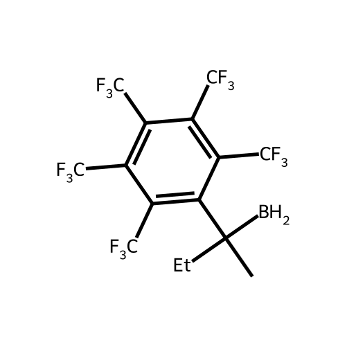 BC(C)(CC)c1c(C(F)(F)F)c(C(F)(F)F)c(C(F)(F)F)c(C(F)(F)F)c1C(F)(F)F